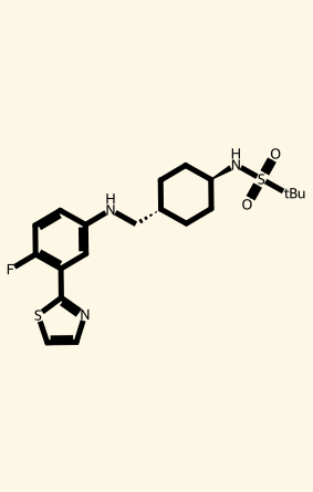 CC(C)(C)S(=O)(=O)N[C@H]1CC[C@H](CNc2ccc(F)c(-c3nccs3)c2)CC1